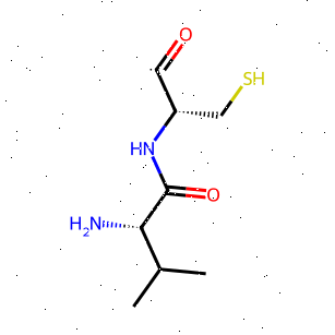 CC(C)[C@H](N)C(=O)N[C@H]([C]=O)CS